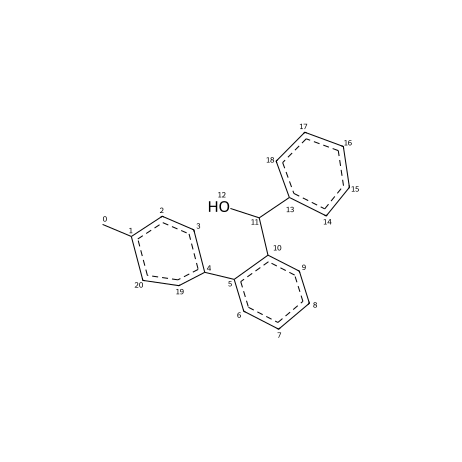 Cc1ccc(-c2ccccc2C(O)c2ccccc2)cc1